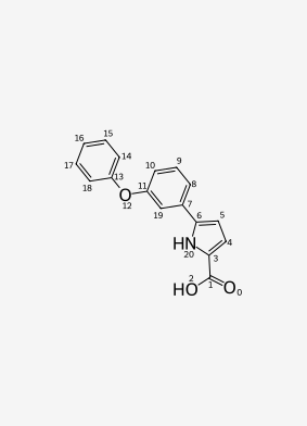 O=C(O)c1ccc(-c2cccc(Oc3ccccc3)c2)[nH]1